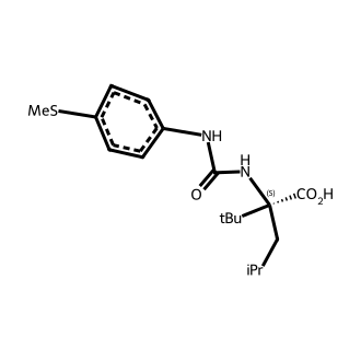 CSc1ccc(NC(=O)N[C@](CC(C)C)(C(=O)O)C(C)(C)C)cc1